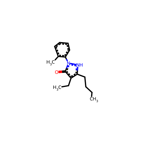 CCCCc1[nH]n(-c2ccccc2C)c(=O)c1CC